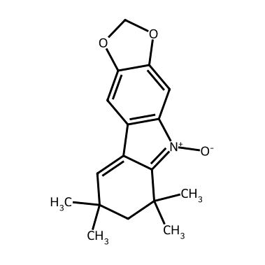 CC1(C)C=C2C(=[N+]([O-])c3cc4c(cc32)OCO4)C(C)(C)C1